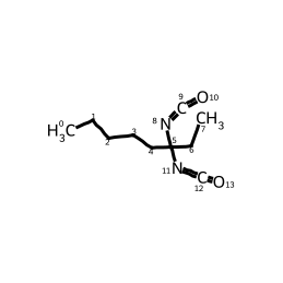 CCCCCC(CC)(N=C=O)N=C=O